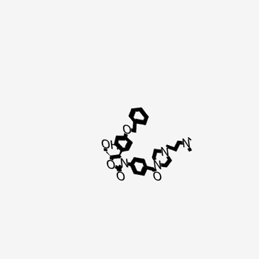 CN(C)CCCN1CCN(C(=O)c2ccc(N3C(=O)O[C@H](CO)[C@H]3c3ccc(OCc4ccccc4)cc3)cc2)CC1